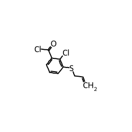 C=CCSc1cccc(C(=O)Cl)c1Cl